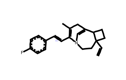 C=CC12CCC1C1=CN(CC2)C(/C=C/c2ccc(F)cc2)=C(C)C1